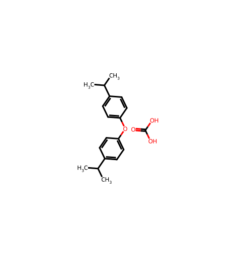 CC(C)c1ccc(Oc2ccc(C(C)C)cc2)cc1.O=C(O)O